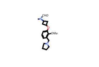 COc1c(CN2CCCC2)cccc1OC1CC(N(C)C=O)C1